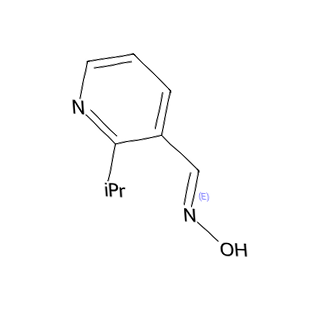 CC(C)c1ncccc1/C=N/O